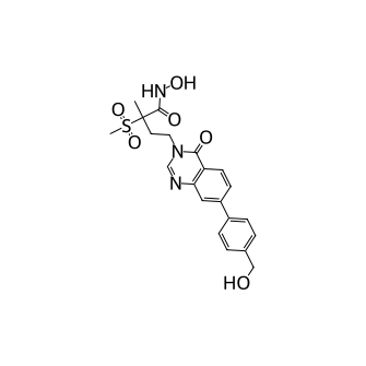 CC(CCn1cnc2cc(-c3ccc(CO)cc3)ccc2c1=O)(C(=O)NO)S(C)(=O)=O